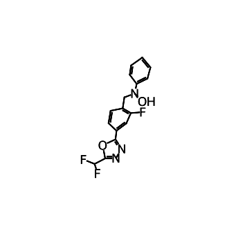 ON(Cc1ccc(-c2nnc(C(F)F)o2)cc1F)c1ccccc1